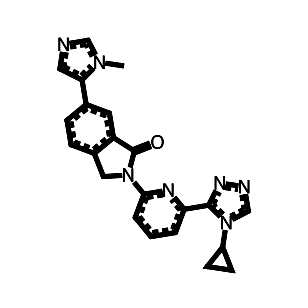 Cn1cncc1-c1ccc2c(c1)C(=O)N(c1cccc(-c3nncn3C3CC3)n1)C2